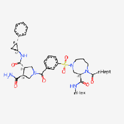 CCCCCCCC(=O)N1CCCN(S(=O)(=O)c2cccc(C(=O)N3C[C@@H](C(N)=O)[C@H](C(=O)N[C@H]4C[C@@H]4c4ccccc4)C3)c2)C[C@@H]1C(=O)NCCCCCC